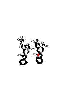 CC(C)(C)[N+]1(C(=O)O)CC[N+](Cc2ccccc2)(C(=O)O)CC1CCO.CC(C)(C)[N+]1(C(=O)O)CC[N+](Cc2ccccc2)(C(=O)O)C[C@H]1CCOS(C)(=O)=O